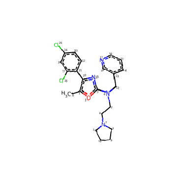 Cc1oc(N(CCN2CCCC2)Cc2cccnc2)nc1-c1ccc(Cl)cc1Cl